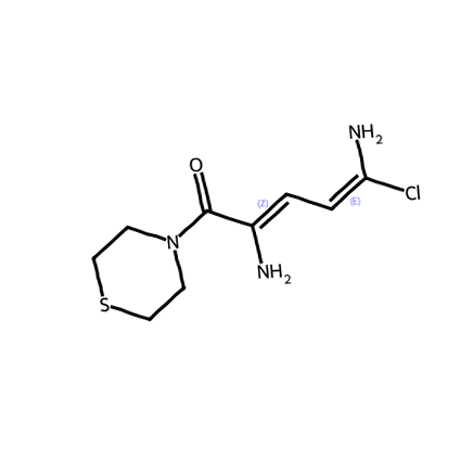 N/C(=C\C=C(/N)Cl)C(=O)N1CCSCC1